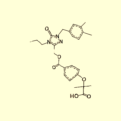 CCCn1c(COC(=O)c2ccc(OC(C)(C)C(=O)O)cc2)nn(Cc2ccc(C)c(C)c2)c1=O